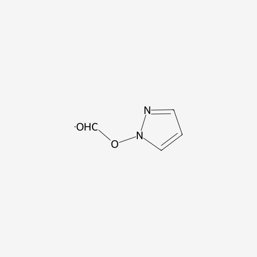 O=[C]On1cccn1